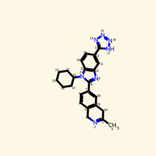 CC1=NCc2ccc(-c3nc4cc(-c5nnn[nH]5)ccc4n3C3CCCCC3)cc2C1